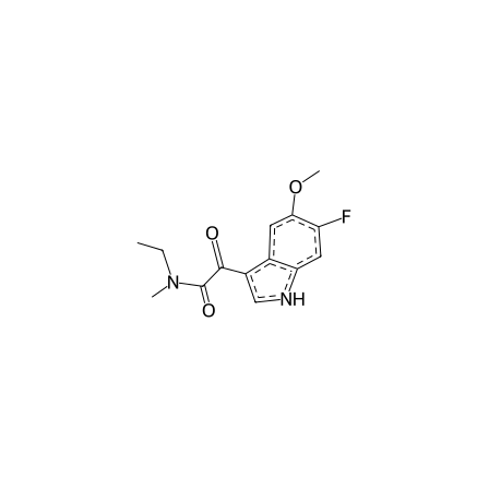 CCN(C)C(=O)C(=O)c1c[nH]c2cc(F)c(OC)cc12